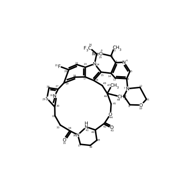 COC(C)c1ncc(N2CCOCC2)cc1-c1c2c3cc(c(F)cc3n1CC(F)(F)F)-c1csc(n1)CCC(=O)N1CCCC(N1)C(=O)OCC(C)(C)C2